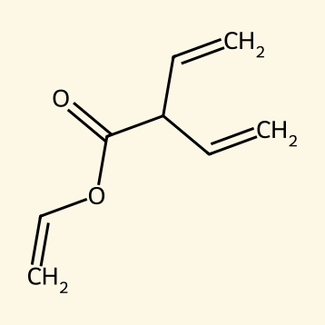 C=COC(=O)C(C=C)C=C